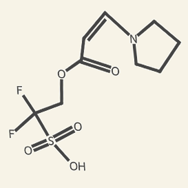 O=C(/C=C\N1CCCC1)OCC(F)(F)S(=O)(=O)O